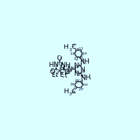 CCC1(CC)C(=O)NC(=O)NC1=O.Cc1ccc(Nc2nc(N)nc(Nc3ccc(C)cc3)n2)cc1